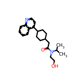 CC(C)N(CCO)C(=O)CC1CCC(c2ccnc3ccccc23)CC1